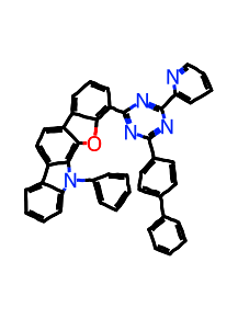 c1ccc(-c2ccc(-c3nc(-c4ccccn4)nc(-c4cccc5c4oc4c5ccc5c6ccccc6n(-c6ccccc6)c54)n3)cc2)cc1